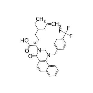 C=CCC(CC)CC[C@@H](C(=O)O)N1CN(Cc2ccc(C(F)(F)F)cc2)c2c(ccc3ccccc23)C1=O